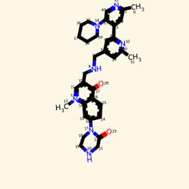 Cc1cc(-c2cc(CNCc3cn(C)c4cc(N5CCNCC5=O)ccc4c3=O)cc(C)n2)c(N2CCCCC2)cn1